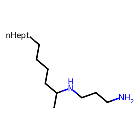 CCCCCCCCCCCC(C)NCCCN